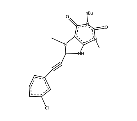 CCCCn1c(=O)c2c(n(C)c1=O)NC(C#Cc1cccc(Cl)c1)N2C